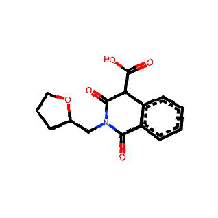 O=C(O)C1C(=O)N(CC2CCCO2)C(=O)c2ccccc21